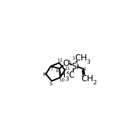 C=C[Si](C)(C)OC1C2CCC1CC2